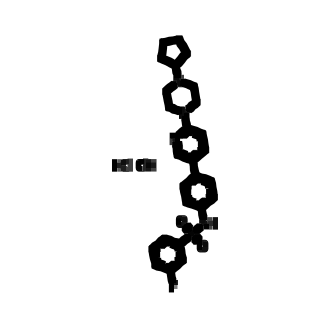 Cl.Cl.O=S(=O)(Nc1ccc(-c2ccc(N3CCN(C4CCCC4)CC3)nc2)cc1)c1cccc(F)c1